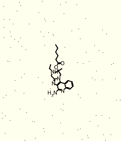 CCCCCC(=O)OC(C)(C)Cn1c(CNCC)nc2c(N)nc3ccccc3c21